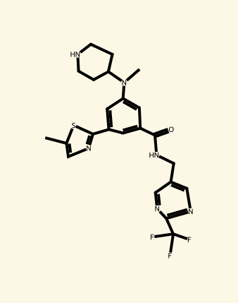 Cc1cnc(-c2cc(C(=O)NCc3cnc(C(F)(F)F)nc3)cc(N(C)C3CCNCC3)c2)s1